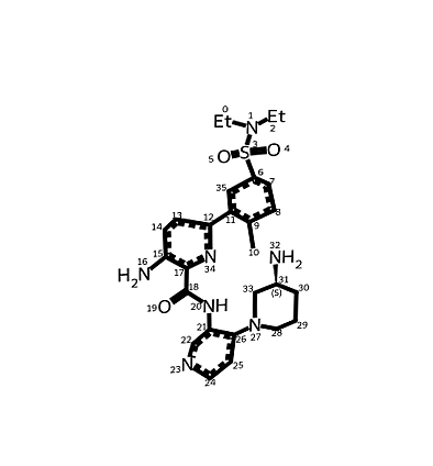 CCN(CC)S(=O)(=O)c1ccc(C)c(-c2ccc(N)c(C(=O)Nc3cnccc3N3CCC[C@H](N)C3)n2)c1